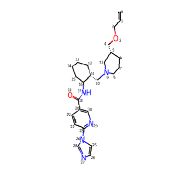 C=CCOC[C@@H]1CCCN(C[C@H]2CCCCC2NC(=O)c2ccc(-n3ccnc3)nc2)C1